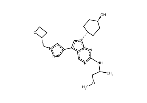 COC[C@H](C)Nc1ncc2c(-c3cnn(C[C@H]4CCO4)c3)cc([C@H]3CC[C@H](O)CC3)n2n1